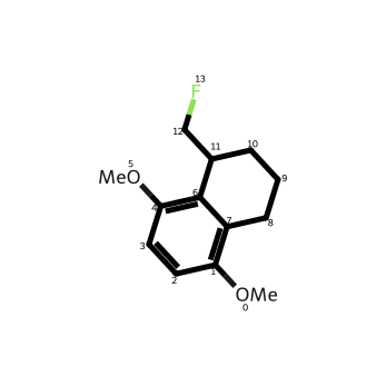 COc1ccc(OC)c2c1CCCC2CF